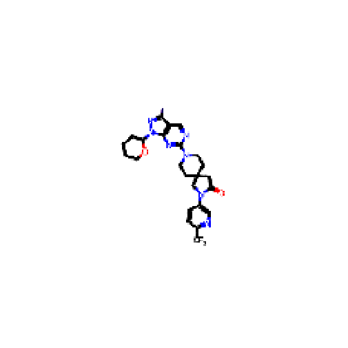 O=C1CC2(CCN(c3ncc4c(I)nn(C5CCCCO5)c4n3)CC2)CN1c1ccc(C(F)(F)F)nc1